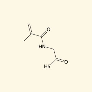 C=C(C)C(=O)NCC(=O)S